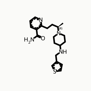 C[C@H](CCc1ncccc1C(N)=O)N1CCC(NCc2ccsc2)CC1